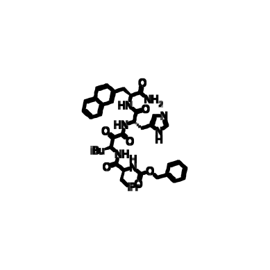 CC[C@H](C)C(NC(=O)[C@H](CC(C)C)NC(=O)OCc1ccccc1)C(=O)C(=O)N[C@@H](Cc1cnc[nH]1)C(=O)N[C@@H](Cc1ccc2ccccc2c1)C(N)=O